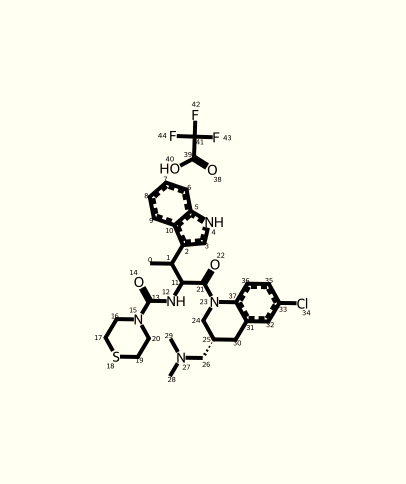 CC(c1c[nH]c2ccccc12)C(NC(=O)N1CCSCC1)C(=O)N1C[C@@H](CN(C)C)Cc2cc(Cl)ccc21.O=C(O)C(F)(F)F